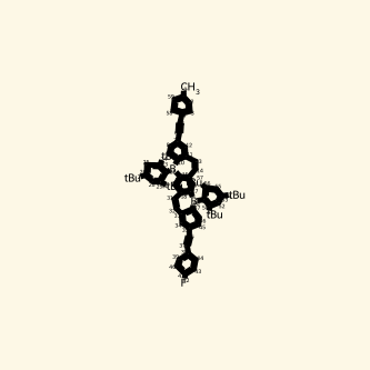 Cc1ccc(C#Cc2ccc3c(c2)C=Cc2cc4c(cc2B3c2c(C(C)(C)C)cc(C(C)(C)C)cc2C(C)(C)C)C=Cc2cc(C#Cc3ccc(F)cc3)ccc2B4c2c(C(C)(C)C)cc(C(C)(C)C)cc2C(C)(C)C)cc1